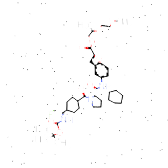 COCCO[C@H](C)COC(=O)c1cc2cc(NC(=O)[C@@H]3[C@H](C4CCCCC4)CCN3C(=O)C3CCC([C@@H](CF)NC(=O)OC(C)(C)C)CC3)ccc2o1